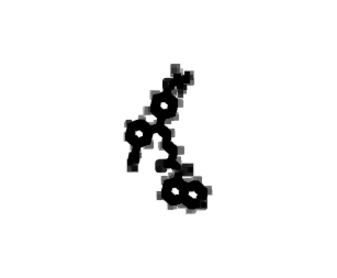 N#Cc1cccc(/C(=C\C=C\C(=O)Nc2cccc3cnccc23)c2ccc(OC(F)(F)F)cc2)c1